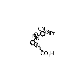 CC(C)Oc1ccc(-c2nc(-c3cccc4c3CN(CCCC(=O)O)C4)no2)cc1C#N